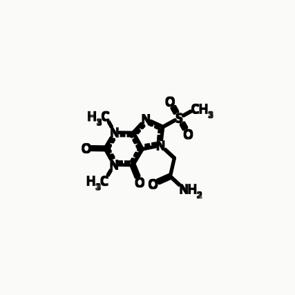 Cn1c(=O)c2c(nc(S(C)(=O)=O)n2CC(N)=O)n(C)c1=O